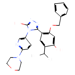 CC(C)c1cc(-c2nnc(O)n2-c2ccc(N3CCOCC3)nc2)c(OCc2ccccc2)cc1O